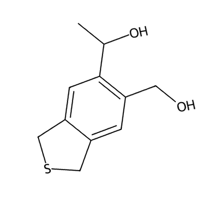 CC(O)c1cc2c(cc1CO)CSC2